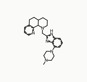 CN1CCN(c2cccc3[nH]c(CN4CCCC5CCc6cccnc6C54)nc23)CC1